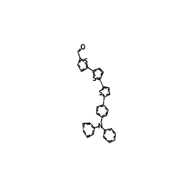 O=Cc1ccc(-c2ccc(-c3ccc(-c4ccc(N(c5ccccc5)c5ccccc5)cc4)s3)s2)s1